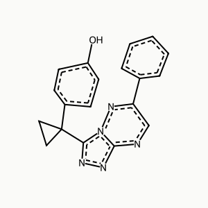 Oc1ccc(C2(c3nnc4ncc(-c5ccccc5)nn34)CC2)cc1